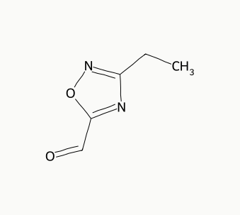 CCc1noc(C=O)n1